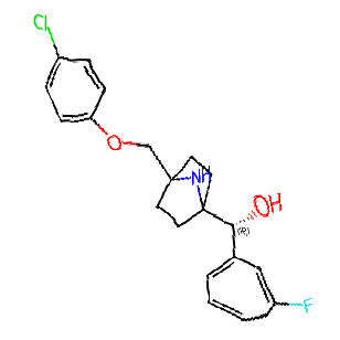 O[C@H](c1cccc(F)c1)C12CCC(COc3ccc(Cl)cc3)(CC1)N2